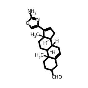 C[C@]12CCC(C=O)CC1=CC[C@@H]1[C@@H]2CC[C@]2(C)C(c3coc(N)n3)=CC[C@@H]12